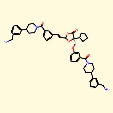 NCc1cccc(C2CCN(C(=O)c3cccc(/C=C/B4OC(=O)[C@@](COc5cccc(C(=O)N6CCC(c7cccc(CN)c7)CC6)c5)(C5CCCC5)O4)c3)CC2)c1